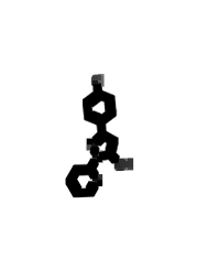 Oc1cc(-c2ccc(Cl)cc2)nn1-c1ccccn1